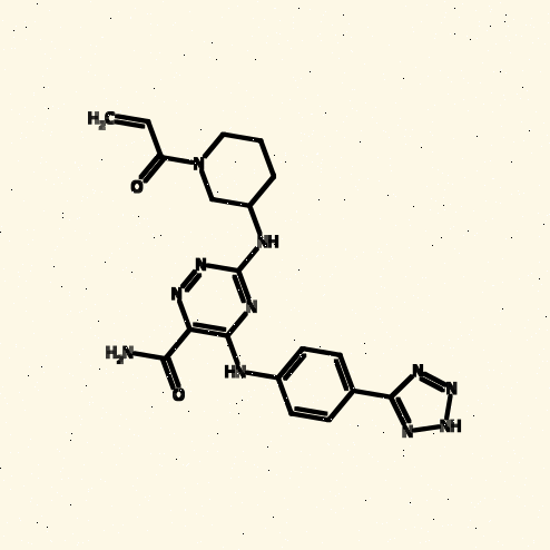 C=CC(=O)N1CCCC(Nc2nnc(C(N)=O)c(Nc3ccc(-c4nn[nH]n4)cc3)n2)C1